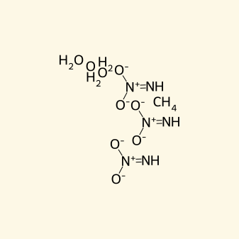 C.N=[N+]([O-])[O-].N=[N+]([O-])[O-].N=[N+]([O-])[O-].O.O.O